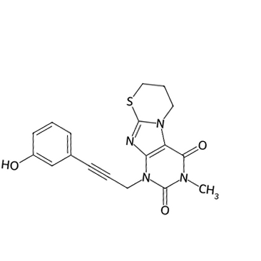 Cn1c(=O)c2c(nc3n2CCCS3)n(CC#Cc2cccc(O)c2)c1=O